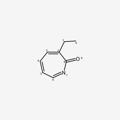 CCc1ccccnc1=O